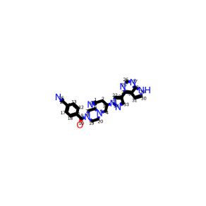 N#CCC(CN1CCN(C(=O)c2ccc(C#N)cc2)CC1)n1cc(-c2ncnc3[nH]ccc23)cn1